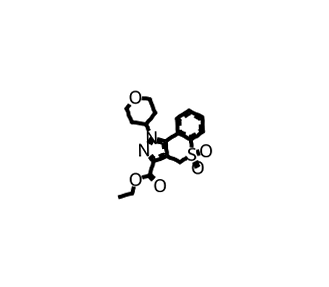 CCOC(=O)c1nn(C2CCOCC2)c2c1CS(=O)(=O)c1ccccc1-2